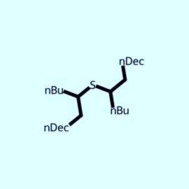 CCCCCCCCCCCC(CCCC)SC(CCCC)CCCCCCCCCCC